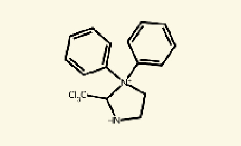 ClC(Cl)(Cl)C1NCC[N+]1(c1ccccc1)c1ccccc1